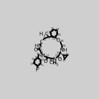 CC1CCNC(=O)[C@@H](Cc2ccc(F)cc2)NC(=O)[C@@H](C)NC(=O)[C@H](C2CC2)NCCOc2ccccc21